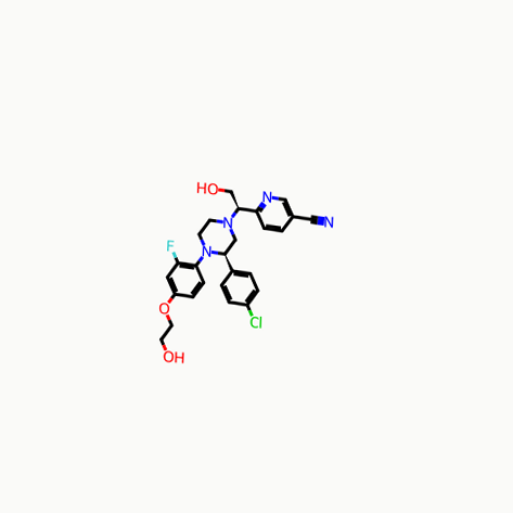 N#Cc1ccc([C@H](CO)N2CCN(c3ccc(OCCO)cc3F)[C@H](c3ccc(Cl)cc3)C2)nc1